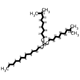 CCCCCCCCCCCCOP(OCCCCCCCC(C)C)OCCCCCCCC(C)C